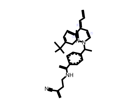 C=C/C=C(\C=C/N(/N=C\C)C(C)c1ccc(C(=C)NCCC(=C)C#N)cc1)C1=CC=C(C(C)(C)C)CC1